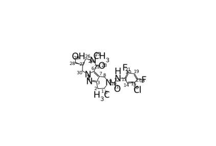 C[C@@H]1Cc2nn3c(c2CN1C(=O)Nc1cc(Cl)c(F)cc1F)C(=O)N(C)C[C@H](CO)C3